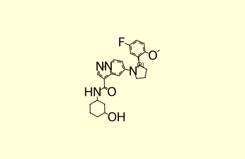 COc1ccc(F)cc1[C@H]1CCCN1c1ccn2ncc(C(=O)NC3CCCC(O)C3)c2c1